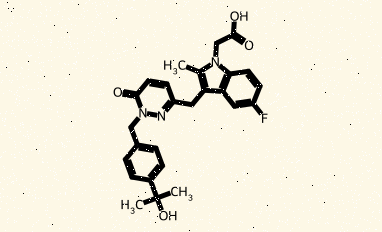 Cc1c(Cc2ccc(=O)n(Cc3ccc(C(C)(C)O)cc3)n2)c2cc(F)ccc2n1CC(=O)O